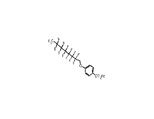 O=C(O)c1ccc(OCC(F)(F)C(F)(F)C(F)(F)C(F)(F)C(F)(F)C(F)(F)C(F)(F)F)cc1